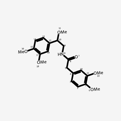 COc1ccc(CC(=O)NCC(OC)c2ccc(OC)c(OC)c2)cc1OC